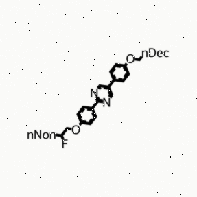 CCCCCCCCCCCOc1ccc(-c2cnc(-c3ccc(OCC(F)CCCCCCCCC)cc3)nc2)cc1